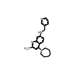 Cc1cc(N2CCCCCC2)c2ccc(NCc3cccnc3)cc2n1